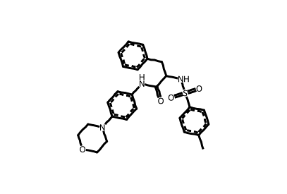 Cc1ccc(S(=O)(=O)NC(Cc2ccccc2)C(=O)Nc2ccc(N3CCOCC3)cc2)cc1